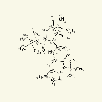 CC(C)(C)OC(=O)N(C[C@@H]1CCNC1=O)NC(=O)[C@@H]1[C@@H]2[C@H](CN1C(=O)[C@@H](N)C(C)(C)C)C2(C)C